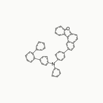 c1ccc(-c2ccccc2-c2ccc(N(c3ccccc3)c3ccc(-c4ccc5ccc6oc7ccccc7c6c5c4)cc3)cc2)cc1